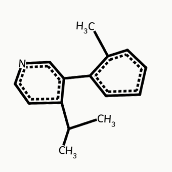 Cc1ccccc1-c1cnccc1C(C)C